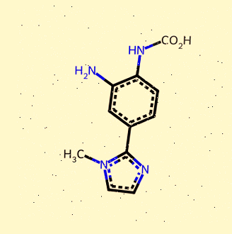 Cn1ccnc1-c1ccc(NC(=O)O)c(N)c1